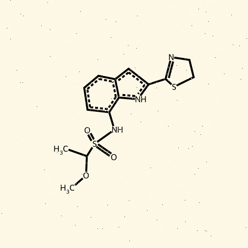 COC(C)S(=O)(=O)Nc1cccc2cc(C3=NCCS3)[nH]c12